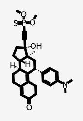 COP(=S)(C#C[C@]1(O)CC[C@H]2[C@@H]3CCC4=CC(=O)CCC4=C3[C@@H](c3ccc(N(C)C)cc3)C[C@@]21C)OC